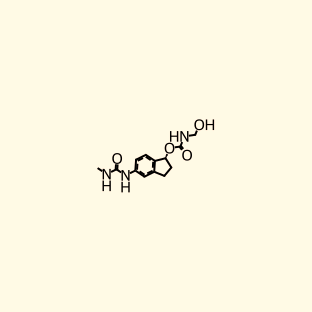 CNC(=O)Nc1ccc2c(c1)CC[C@@H]2OC(=O)NCO